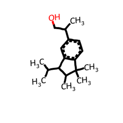 CC(CO)c1ccc2c(c1)C(C(C)C)C(C)C2(C)C